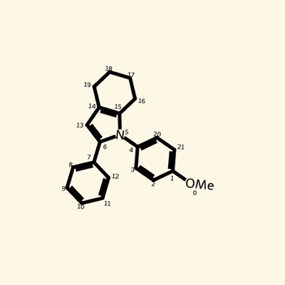 COc1ccc(-n2c(-c3ccccc3)cc3c2CCCC3)cc1